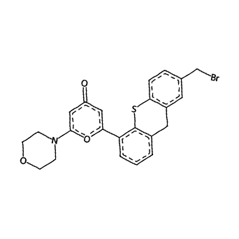 O=c1cc(-c2cccc3c2Sc2ccc(CBr)cc2C3)oc(N2CCOCC2)c1